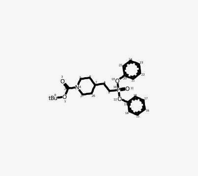 CC(C)(C)OC(=O)N1CCC(CCP(=O)(Oc2ccccc2)Oc2ccccc2)CC1